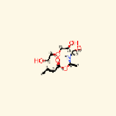 C/C=C/C(=O)OC(C)N=C=O.OCCOCCO